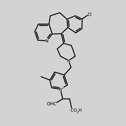 Cc1cc(CN2CCC(=C3c4ccc(Cl)cc4CCc4cccnc43)CC2)c[n+](C(C=O)CC(=O)O)c1